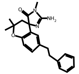 CN1C(=O)C2(CC(C)(C)Oc3ccc(CCc4ccccc4)cc32)N=C1N